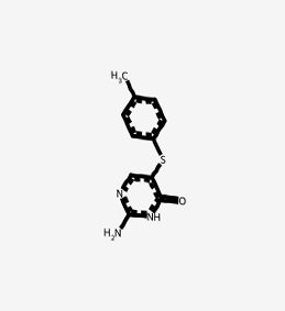 Cc1ccc(Sc2cnc(N)[nH]c2=O)cc1